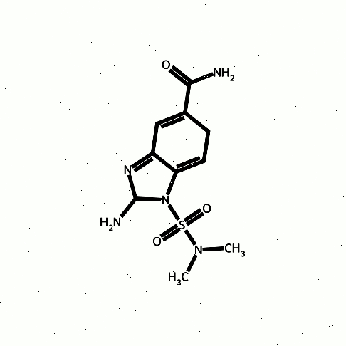 CN(C)S(=O)(=O)N1C2=CCC(C(N)=O)=CC2=NC1N